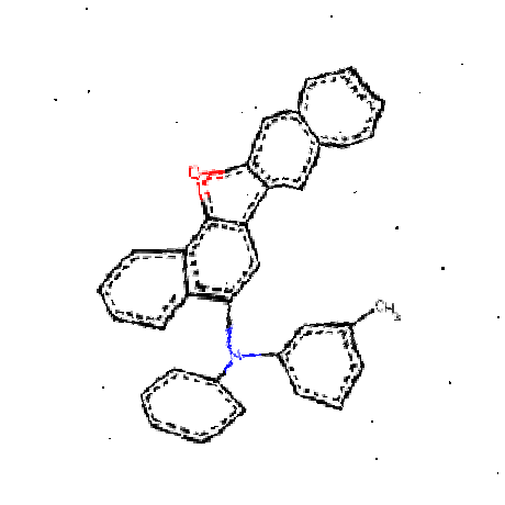 Cc1cccc(N(c2ccccc2)c2cc3c4cc5ccccc5cc4oc3c3ccccc23)c1